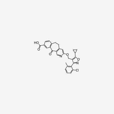 Cc1cccc(Cl)c1-c1noc(C2CC2)c1COc1cc2c(cn1)C(=O)c1cc(C(=O)O)ccc1CC2